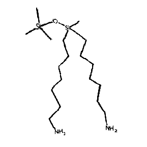 C[Si](C)(C)O[Si](C)(CCCCCCCN)CCCCCCCN